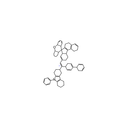 C1=CCC(C2=CCC(/C(=C\C3=CC4C(CC3)C3=C(CCC5=C3CCC=C5)C43C4C=CC=CC4OC4CCCCC43)C3CCc4c(c5c(n4-c4ccccc4)CCCC5)C3)C=C2)C=C1